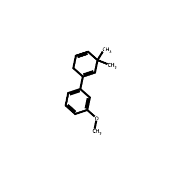 COc1cccc(C2=CC(C)(C)C=CC2)c1